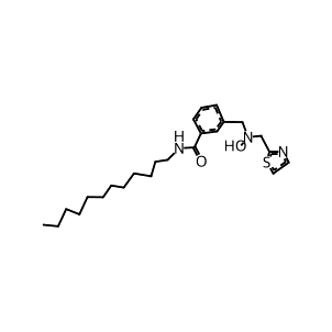 CCCCCCCCCCCCNC(=O)c1cccc(CN(O)Cc2nccs2)c1